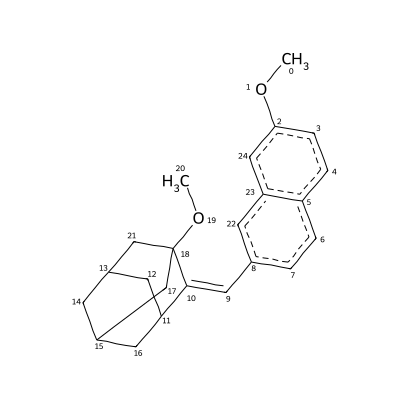 COc1ccc2ccc(C=C3C4CC5CC(C4)CC3(OC)C5)cc2c1